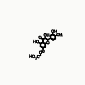 O=C(O)COOc1cc(O)c2c(=O)c(O)c(-c3ccc(O)c(O)c3)oc2c1